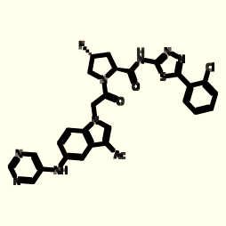 CC(=O)c1cn(CC(=O)N2C[C@H](F)C[C@H]2C(=O)Nc2nnc(-c3ccccc3Cl)s2)c2ccc(Nc3cncnc3)cc12